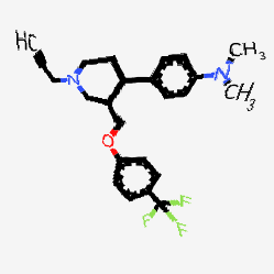 C#CCN1CCC(c2ccc(N(C)C)cc2)C(COc2ccc(C(F)(F)F)cc2)C1